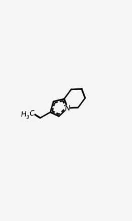 CCc1cc2n(c1)CCCC2